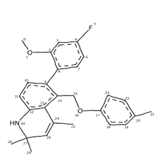 COc1cc(F)ccc1-c1ccc2c(c1COc1ccc(C)cc1)C(C)=CC(C)(C)N2